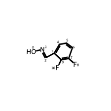 ON=Cc1cccc(F)c1F